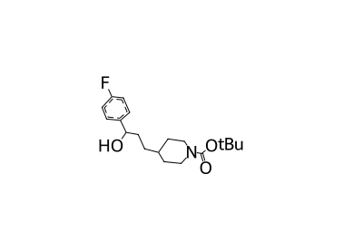 CC(C)(C)OC(=O)N1CCC(CCC(O)c2ccc(F)cc2)CC1